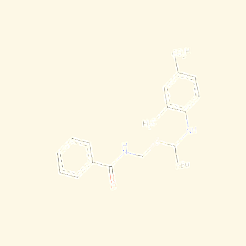 CCCCC(Nc1ccc(C(=O)O)cc1C)SCNC(=O)c1ccccc1